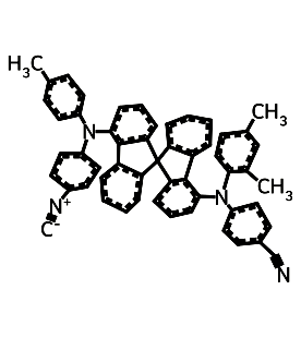 [C-]#[N+]c1ccc(N(c2ccc(C)cc2)c2cccc3c2-c2ccccc2C32c3ccccc3-c3c(N(c4ccc(C#N)cc4)c4ccc(C)cc4C)cccc32)cc1